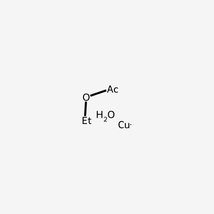 CCOC(C)=O.O.[Cu]